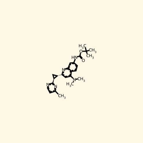 Cc1ccnc([C@H]2C[C@@H]2c2cc(N(C)C)c3ccc(NC(=O)OC(C)(C)C)cc3n2)n1